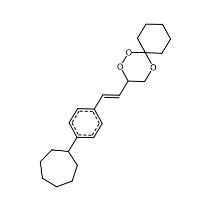 C(=CC1COC2(CCCCC2)OO1)c1ccc(C2CCCCCC2)cc1